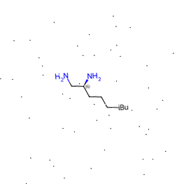 CCC(C)CCC[C@H](N)CN